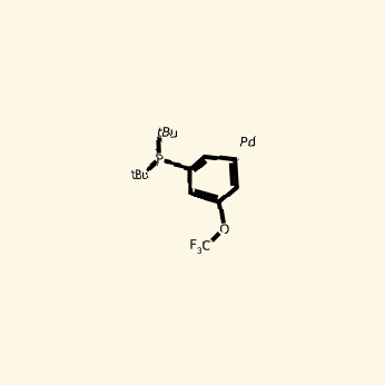 CC(C)(C)P(c1cccc(OC(F)(F)F)c1)C(C)(C)C.[Pd]